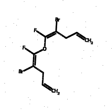 C=CC/C(Br)=C(/F)O/C(F)=C(/Br)CC=C